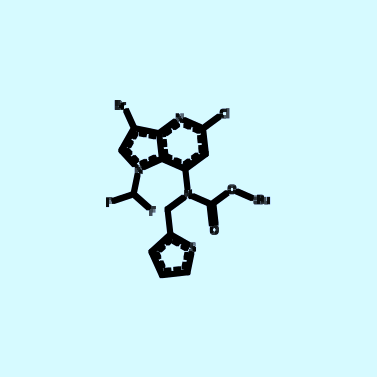 CC(C)(C)OC(=O)N(Cc1cccs1)c1cc(Cl)nc2c(Br)cn(C(F)F)c12